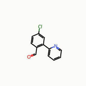 O=Cc1ccc(Cl)cc1-c1ccccn1